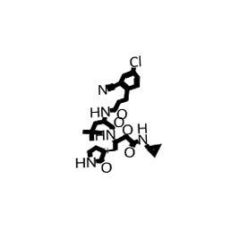 CC(C)(C)CC(NC(=O)CCc1ccc(Cl)cc1C#N)C(=O)NC(C[C@@H]1CCNC1=O)C(=O)C(=O)NC1CC1